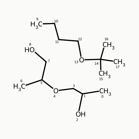 CC(O)COC(C)CO.CCCCOC(C)(C)C